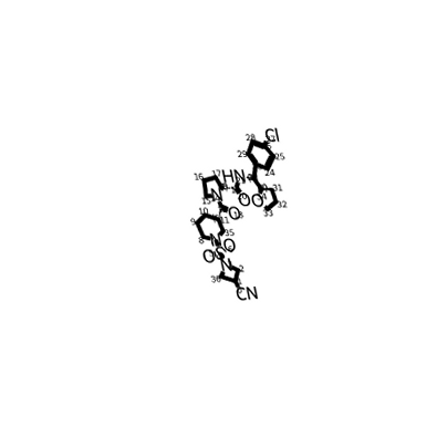 N#CC1CN(S(=O)(=O)N2CCC[C@H](C(=O)N3CCC[C@@H]3C(=O)N[C@H](c3ccc(Cl)cc3)[C@H]3CCCO3)C2)C1